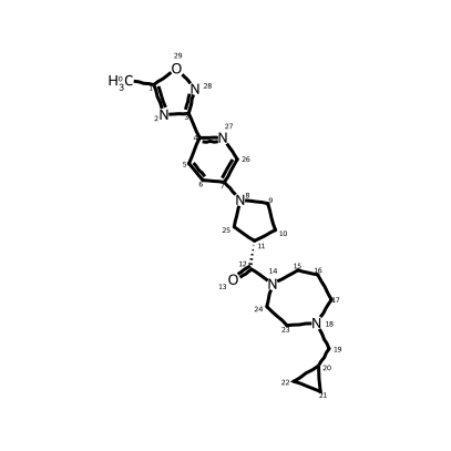 Cc1nc(-c2ccc(N3CC[C@H](C(=O)N4CCCN(CC5CC5)CC4)C3)cn2)no1